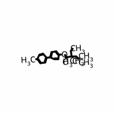 CCC(C)(CC(C)(C)C)C(=O)Oc1ccc(-c2ccc(C)cc2)cc1